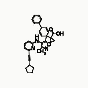 Cc1noc(C2(C3(C(=O)O)CC3)C=CC(c3ccccc3)C=C2)c1Nc1cccc(C#CC2CCCC2)n1